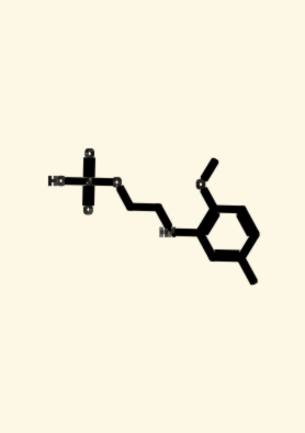 COc1ccc(C)cc1NCCOS(=O)(=O)O